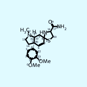 COc1ccc([C@@]23C=CC4(C[C@@H]2N(C)CC3)NC(C(N)=O)CS4)cc1OC